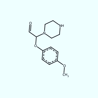 COc1ccc(OC(C=O)N2CCNCC2)cc1